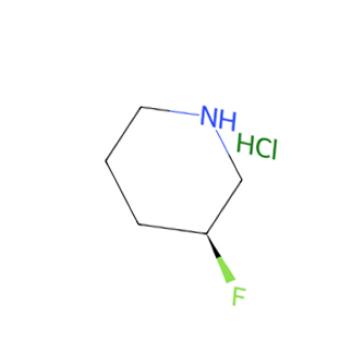 Cl.F[C@H]1CCCNC1